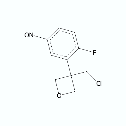 O=Nc1ccc(F)c(C2(CCl)COC2)c1